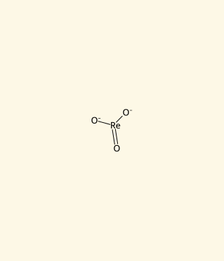 [O]=[Re]([O-])[O-]